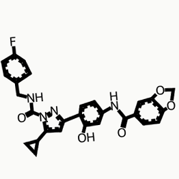 O=C(Nc1ccc(-c2cc(C3CC3)n(C(=O)NCc3ccc(F)cc3)n2)c(O)c1)c1ccc2c(c1)OCO2